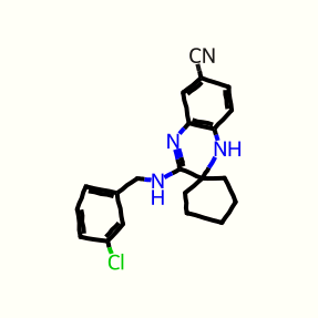 N#Cc1ccc2c(c1)N=C(NCc1cccc(Cl)c1)C1(CCCCC1)N2